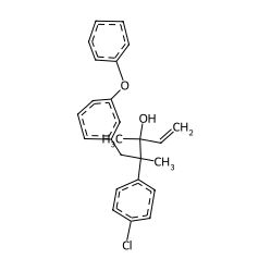 C=CC(C)(O)C(C)(Cc1cccc(Oc2ccccc2)c1)c1ccc(Cl)cc1